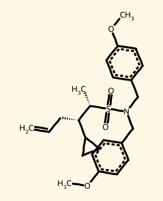 C=CC[C@@H](C1CC1)[C@H](C)S(=O)(=O)N(Cc1ccc(OC)cc1)Cc1ccc(OC)cc1